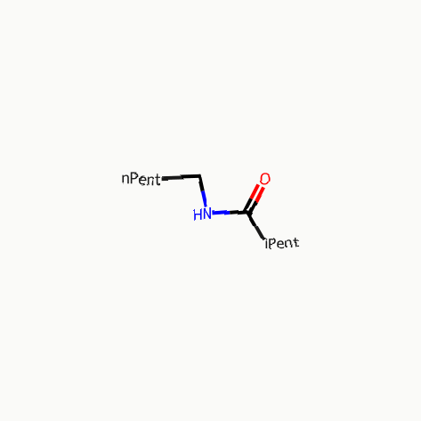 CCCCCCNC(=O)C(C)CCC